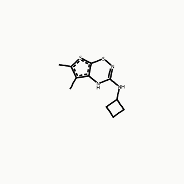 Cc1sc2c(c1C)NC(NC1CCC1)=NS2